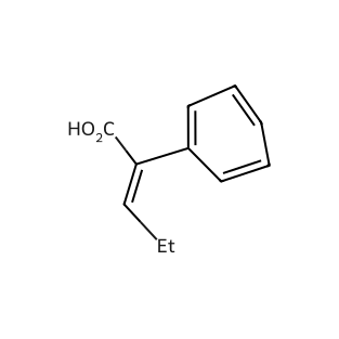 CC/C=C(/C(=O)O)c1ccccc1